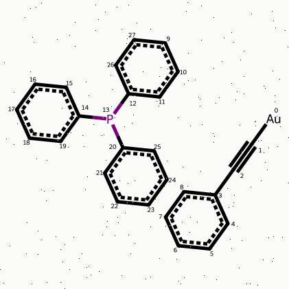 [Au][C]#Cc1ccccc1.c1ccc(P(c2ccccc2)c2ccccc2)cc1